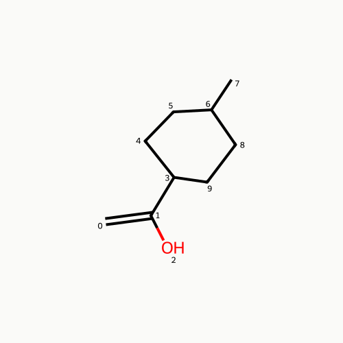 C=C(O)C1CCC(C)CC1